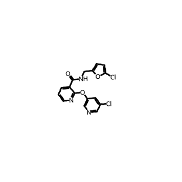 O=C(NCc1ccc(Cl)o1)c1cccnc1Oc1cncc(Cl)c1